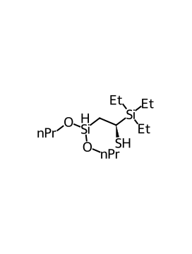 CCCO[SiH](C[C@H](S)[Si](CC)(CC)CC)OCCC